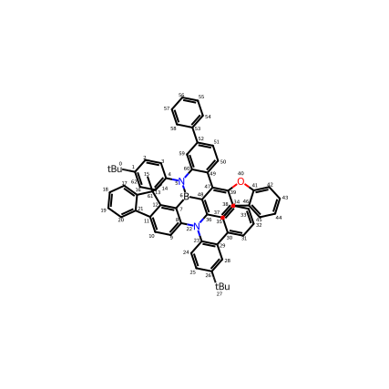 CC(C)(C)c1ccc(N2B3c4c(ccc5c4C(C)(C)c4ccccc4-5)N(c4ccc(C(C)(C)C)cc4-c4ccccc4)c4cc5c(oc6ccccc65)c(c43)-c3ccc(-c4ccccc4)cc32)cc1